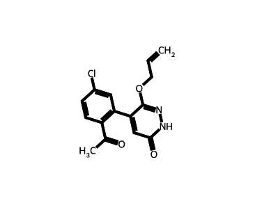 C=CCOc1n[nH]c(=O)cc1-c1cc(Cl)ccc1C(C)=O